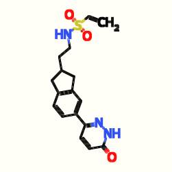 C=CS(=O)(=O)NCCC1Cc2ccc(-c3ccc(=O)[nH]n3)cc2C1